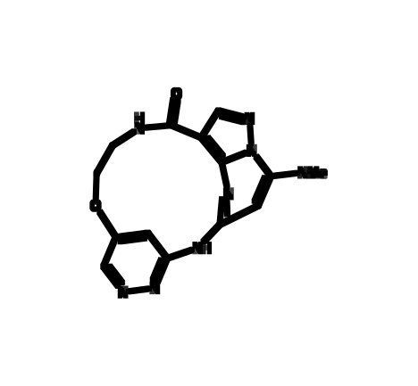 CNc1cc2nc3c(cnn13)C(=O)NCCOc1cnnc(c1)N2